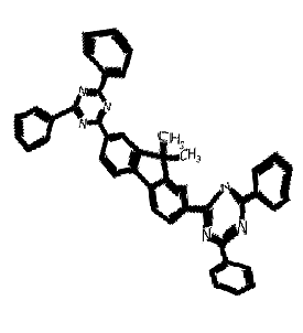 CC1(C)c2cc(-c3nc(-c4ccccc4)nc(-c4ccccc4)n3)ccc2-c2ccc(-c3nc(-c4ccccc4)nc(-c4ccccc4)n3)cc21